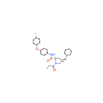 CCC(=O)N1C[C@H](Cc2ccccc2)C[C@H]1C(=O)Nc1ccc(Oc2ccc(F)cc2)cc1